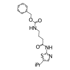 CC(C)c1cnc(NC(=O)CCCNC(=O)OCc2ccccc2)s1